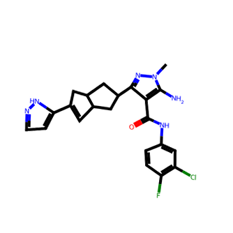 Cn1nc(C2CC3C=C(c4ccn[nH]4)CC3C2)c(C(=O)Nc2ccc(F)c(Cl)c2)c1N